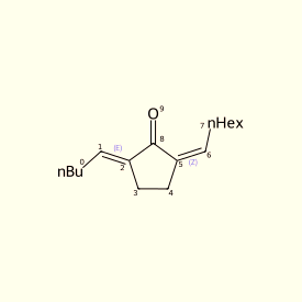 CCCC/C=C1\CC/C(=C/CCCCCC)C1=O